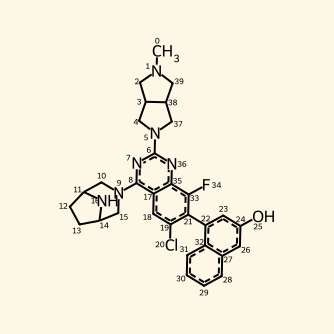 CN1CC2CN(c3nc(N4CC5CCC(C4)N5)c4cc(Cl)c(-c5cc(O)cc6ccccc56)c(F)c4n3)CC2C1